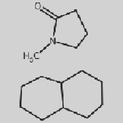 C1CCC2CCCCC2C1.CN1CCCC1=O